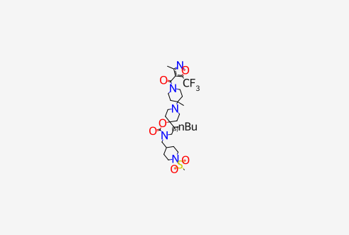 CCCC[C@H]1CN(CC2CCN(S(C)(=O)=O)CC2)C(=O)OC12CCN(C1(C)CCN(C(=O)c3c(C)noc3C(F)(F)F)CC1)CC2